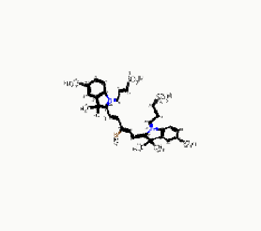 CC1(C)C(/C=C/C(Br)=C/C=C2\N(CCCS(=O)(=O)O)c3ccc(S(=O)(=O)O)cc3C2(C)C)=[N+](CCCS(=O)(=O)O)c2ccc(S(=O)(=O)O)cc21.[KH]